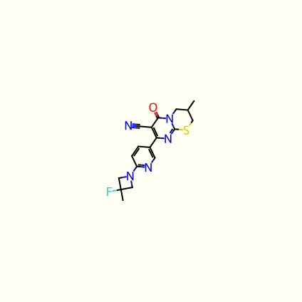 CC1CSc2nc(-c3ccc(N4CC(C)(F)C4)nc3)c(C#N)c(=O)n2C1